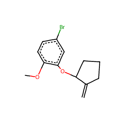 C=C1CCCC1Oc1cc(Br)ccc1OC